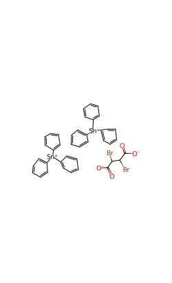 O=C([O-])C(Br)C(Br)C(=O)[O-].c1cc[c]([Sn+]([c]2ccccc2)[c]2ccccc2)cc1.c1cc[c]([Sn+]([c]2ccccc2)[c]2ccccc2)cc1